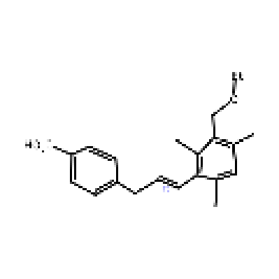 CCOCc1c(C)cc(C)c(/C=C/Cc2ccc(C(=O)O)cc2)c1C